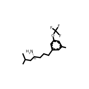 Cc1cc(CCC[C@@H](N)CC(C)C)cc(OC(F)(F)F)c1